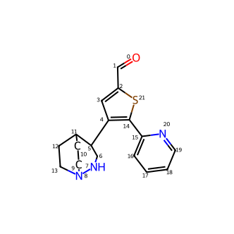 O=Cc1cc(C2CNN3CCC2CC3)c(-c2ccccn2)s1